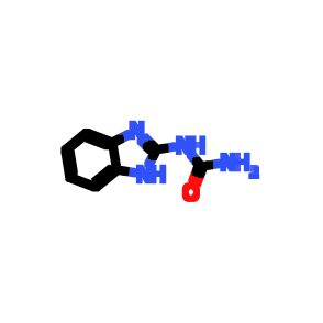 NC(=O)Nc1nc2ccccc2[nH]1